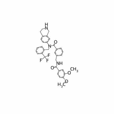 COc1ccc(C(=O)NCc2cccc(C(=O)N(Cc3ccccc3C(F)(F)F)c3ccc4c(c3)CNCC4)c2)cc1OC